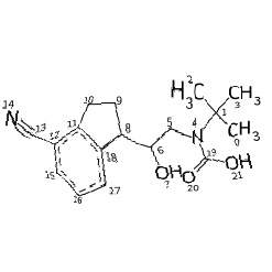 CC(C)(C)N(CC(O)C1CCc2c(C#N)cccc21)C(=O)O